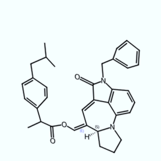 CC(C)Cc1ccc(C(C)C(=O)O/C=C2\C=C3C(=O)N(Cc4ccccc4)c4cccc(c43)N3CCC[C@@H]23)cc1